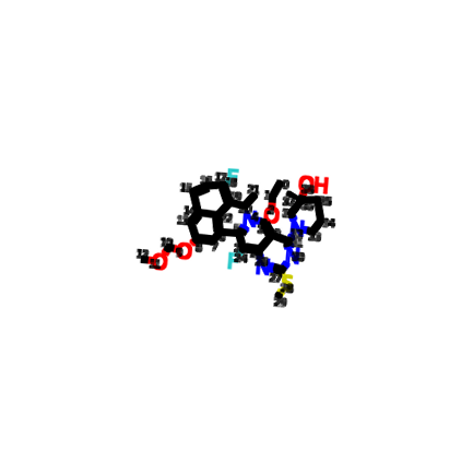 CCOc1nc(-c2cc(OCOC)cc3ccc(F)c(CC)c23)c(F)c2nc(SC)nc(N3CCC[C@@](C)(O)C3)c12